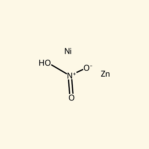 O=[N+]([O-])O.[Ni].[Zn]